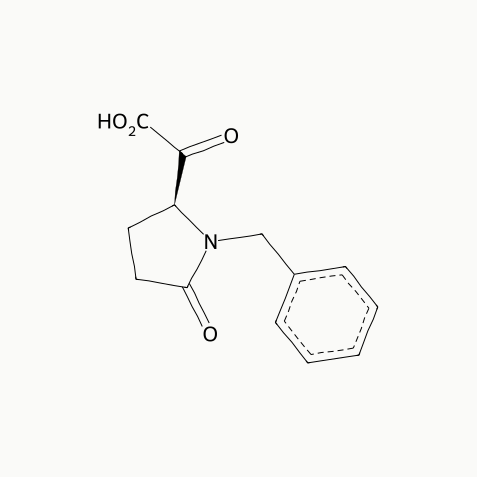 O=C(O)C(=O)[C@@H]1CCC(=O)N1Cc1ccccc1